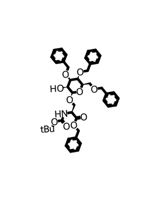 CC(C)(C)OC(=O)N[C@@H](CO[C@H]1O[C@H](COCc2ccccc2)[C@@H](OCc2ccccc2)[C@H](OCc2ccccc2)[C@H]1O)C(=O)OCc1ccccc1